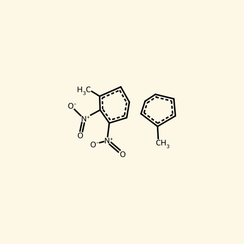 Cc1cccc([N+](=O)[O-])c1[N+](=O)[O-].Cc1ccccc1